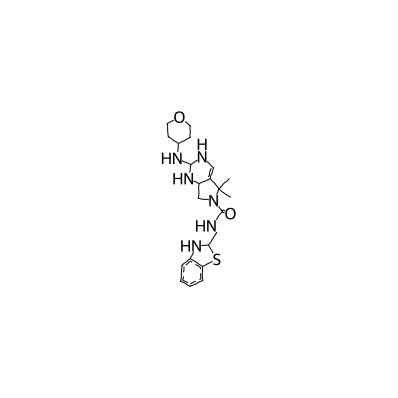 CC1(C)C2=CNC(NC3CCOCC3)NC2CN1C(=O)NCC1Nc2ccccc2S1